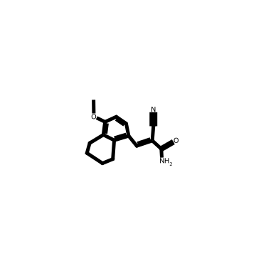 COc1ccc(/C=C(\C#N)C(N)=O)c2c1CCCC2